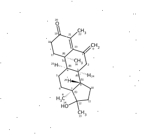 C=C1C[C@@H]2[C@@H](CC[C@@]3(C)[C@H]2CCC3(C)O)[C@@]2(C)CCC(=O)C(C)=C12